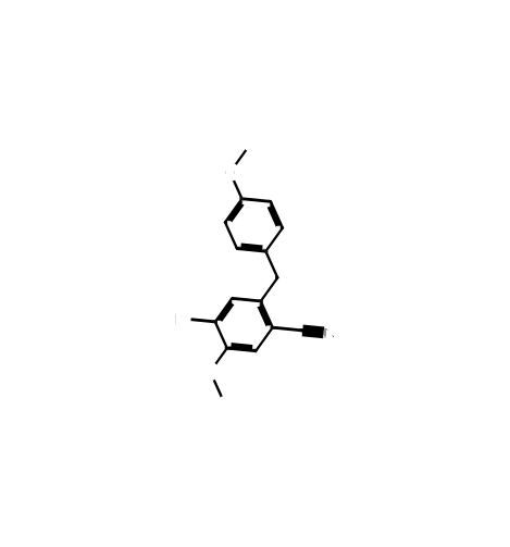 COc1ccc(Cc2cc(Br)c(SC)cc2C#N)cc1